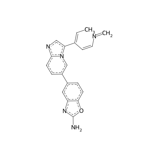 C=N/C=C\C(=C/C)c1cnc2ccc(-c3ccc4oc(N)nc4c3)cn12